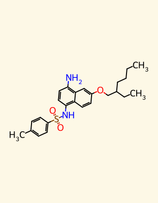 CCCCC(CC)COc1ccc2c(NS(=O)(=O)c3ccc(C)cc3)ccc(N)c2c1